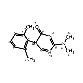 Cc1cccc(C)c1-n1cnc(N(C)C)nc1=O